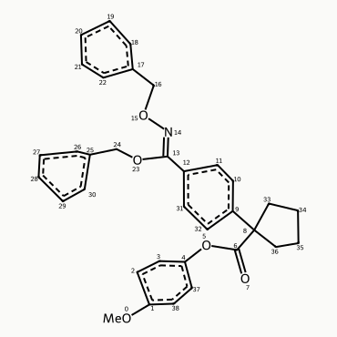 COc1ccc(OC(=O)C2(c3ccc(C(=NOCc4ccccc4)OCc4ccccc4)cc3)CCCC2)cc1